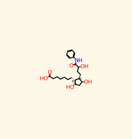 O=C(O)CCCCCC[C@H]1[C@@H](O)CC(O)[C@@H]1CCC(O)C(=O)Nc1ccccc1